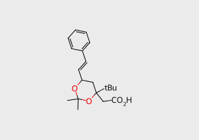 CC1(C)OC(C=Cc2ccccc2)CC(CC(=O)O)(C(C)(C)C)O1